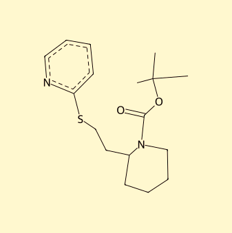 CC(C)(C)OC(=O)N1CCCCC1CCSc1ccccn1